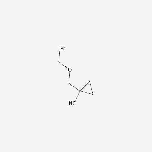 CC(C)COCC1(C#N)CC1